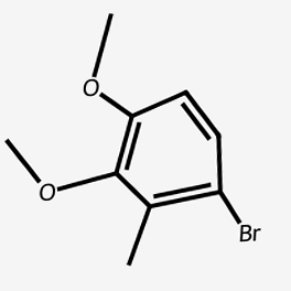 COc1ccc(Br)c(C)c1OC